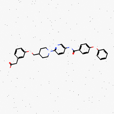 O=C(O)Cc1cccc(OCC2CCN(c3ccc(NC(=O)c4ccc(Oc5ccccc5)cc4)cn3)CC2)c1